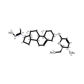 CC(=O)OC[C@H]1OC(O[C@H]2CC[C@@]3(C)C(=CCC4C3CC[C@@]3(C)C4CC[C@@H]3/C(C)=N/O)C2)C=C[C@@H]1OC(C)=O